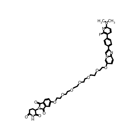 CN(C)c1ccc(-c2ccc(-c3cn4cc(OCCOCCOCCOCCOCCOCCOc5ccc6c(c5)C(=O)N(C5CCC(=O)NC5=O)C6=O)ccc4n3)cc2)c(F)n1